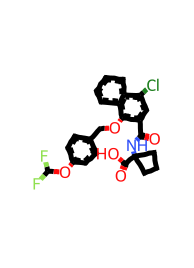 O=C(NC1(C(=O)O)CCC1)c1cc(Cl)c2ccccc2c1OCc1ccc(OC(F)F)cc1